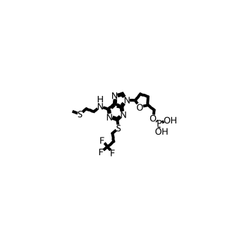 CSCCNc1nc(SCCC(F)(F)F)nc2c1ncn2C1CCC(COP(O)O)O1